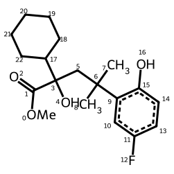 COC(=O)C(O)(CC(C)(C)c1cc(F)ccc1O)C1CCCCC1